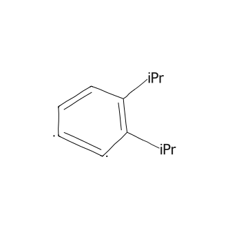 CC(C)c1[c][c]ccc1C(C)C